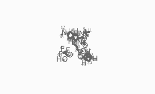 CC(=O)N[C@@]1(C(=O)NC(C)(C)C)C[C@H]2C[C@@H](N(C)C)C[C@H]2[C@@H]1CCCB1O[C@@H]2C[C@@H]3C[C@@H](C3(C)C)[C@]2(C)O1.O=C(O)C(F)(F)F